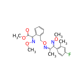 CON=C(C(C)=NOCc1ccccc1C(=NOC)C(=O)OC)c1ccc(F)cc1C